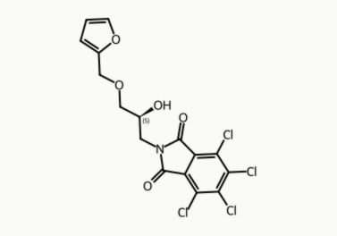 O=C1c2c(Cl)c(Cl)c(Cl)c(Cl)c2C(=O)N1C[C@H](O)COCc1ccco1